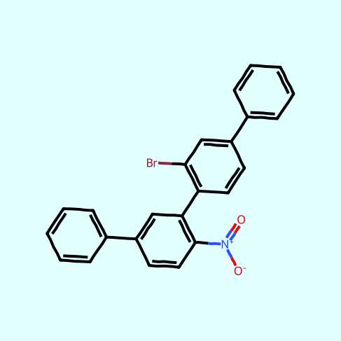 O=[N+]([O-])c1ccc(-c2ccccc2)cc1-c1ccc(-c2ccccc2)cc1Br